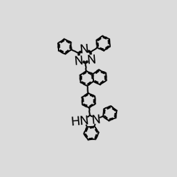 c1ccc(-c2nc(-c3ccccc3)nc(-c3ccc(-c4ccc(C5Nc6ccccc6N5c5ccccc5)cc4)c4ccccc34)n2)cc1